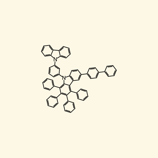 c1ccc(-c2ccc(-c3ccc4c(c3)c3c(-c5ccccc5)c(-c5ccccc5)c(-c5ccccc5)c(-c5ccccc5)c3n4-c3cccc(-n4c5ccccc5c5ccccc54)c3)cc2)cc1